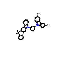 CC1(C)c2ccccc2-c2cc3c(cc21)c1ccccc1n3-c1cccc(-n2c3ccc(C#N)cc3c3cc(C#N)ccc32)c1